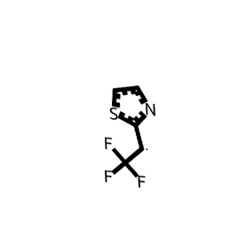 FC(F)(F)[CH]c1nccs1